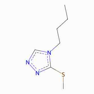 CCCCn1cnnc1SC